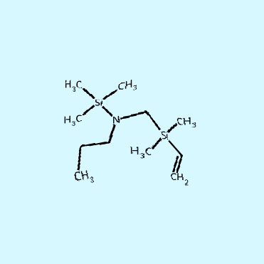 C=C[Si](C)(C)CN(CCC)[Si](C)(C)C